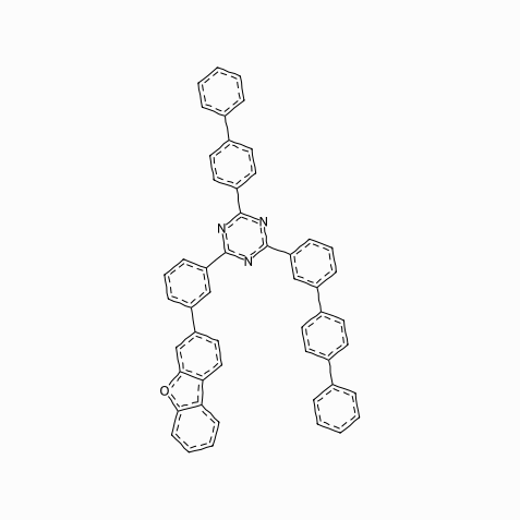 c1ccc(-c2ccc(-c3cccc(-c4nc(-c5ccc(-c6ccccc6)cc5)nc(-c5cccc(-c6ccc7c(c6)oc6ccccc67)c5)n4)c3)cc2)cc1